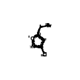 Clc1cc(CBr)on1